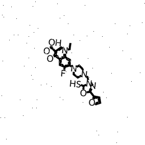 CCn1cc(C(=O)O)c(=O)c2cc(F)c(N3CCN(CN4N=C(c5ccco5)OC4S)CC3)cc21